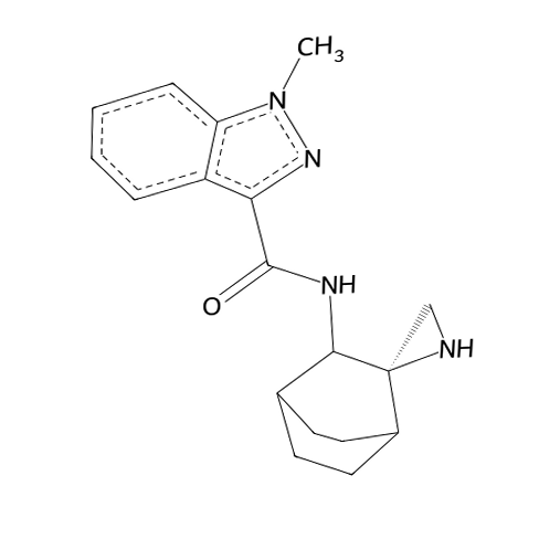 Cn1nc(C(=O)NC2C3CCC(CC3)[C@@]23CN3)c2ccccc21